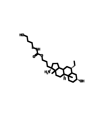 CC[C@H]1CC2C3CC[C@](N)(CCCOC(=O)NSCCCO)C3(C)CC[C@@H]2C2(C)CC[C@@H](O)CC12